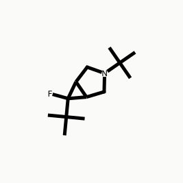 CC(C)(C)N1CC2C(C1)C2(F)C(C)(C)C